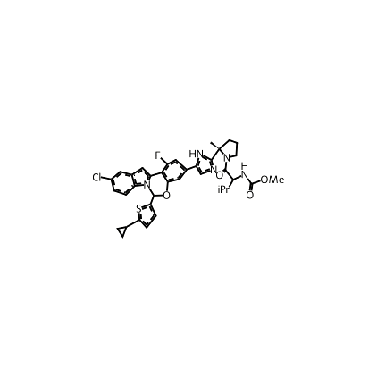 COC(=O)NC(C(=O)N1CCC[C@@]1(C)c1ncc(-c2cc(F)c3c(c2)OC(c2ccc(C4CC4)s2)n2c-3cc3cc(Cl)ccc32)[nH]1)C(C)C